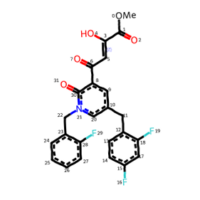 COC(=O)/C(O)=C/C(=O)c1cc(Cc2ccc(F)cc2F)cn(Cc2ccccc2F)c1=O